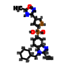 Cc1nc(-c2csc(S(=O)(=O)c3ccc4c(c3)nc(C(C)(C)C)n4CC3CCCCC3)c2)no1